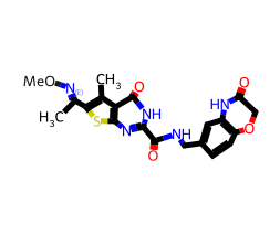 CO/N=C(\C)c1sc2nc(C(=O)NCc3ccc4c(c3)NC(=O)CO4)[nH]c(=O)c2c1C